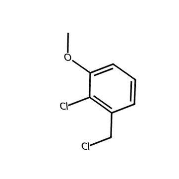 COc1cccc(CCl)c1Cl